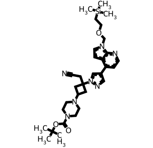 CC(C)(C)OC(=O)N1CCN(C2CC(CC#N)(n3cc(-c4ccnc5c4ccn5COCC[Si](C)(C)C)cn3)C2)CC1